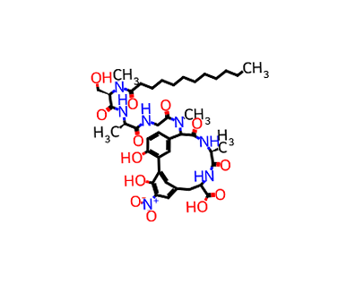 CCCCCCCCCCCC(=O)N(C)[C@H](CO)C(=O)N[C@H](C)C(=O)NCC(=O)N(C)C1C(=O)N[C@@H](C)C(=O)NC(C(=O)O)Cc2cc(c(O)c([N+](=O)[O-])c2)-c2cc1ccc2O